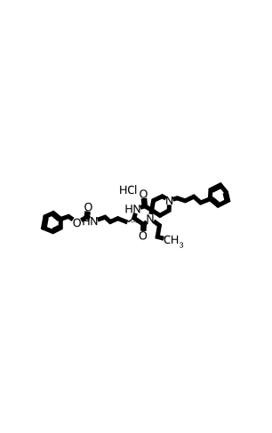 CCCN1C(=O)[C@H](CCCCNC(=O)OCc2ccccc2)NC(=O)C12CCN(CCCCc1ccccc1)CC2.Cl